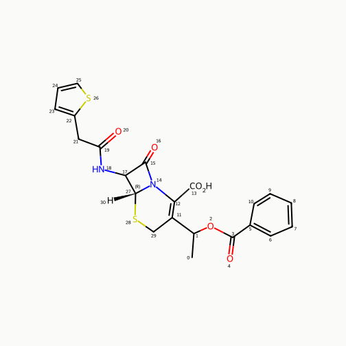 CC(OC(=O)c1ccccc1)C1=C(C(=O)O)N2C(=O)C(NC(=O)Cc3cccs3)[C@H]2SC1